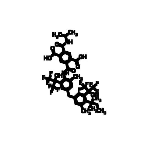 CCC(C)(C)c1c(C)cc(Cc2cc(C)c(NC(=O)c3cc(C(=O)O)c(C(=O)NC(C)C)cc3C(=O)O)c(C(O)(C(F)(F)F)C(F)(F)F)c2)cc1C(O)(C(F)(F)F)C(F)(F)F